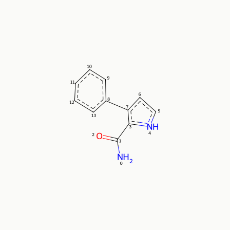 NC(=O)c1[nH]ccc1-c1ccccc1